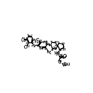 CC(=O)c1nc(Sc2cccc(Cl)c2Cl)c(C)nc1N1CCC2(CCC[C@H]2NC(=O)OC(C)(C)C)CC1